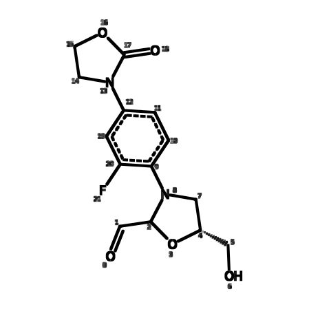 O=CC1O[C@@H](CO)CN1c1ccc(N2CCOC2=O)cc1F